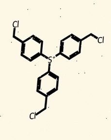 ClCc1ccc([S+](c2ccc(CCl)cc2)c2ccc(CCl)cc2)cc1